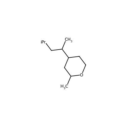 CC(C)CC(C)C1CCOC(C)C1